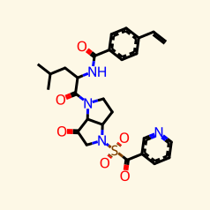 C=Cc1ccc(C(=O)NC(CC(C)C)C(=O)N2CCC3C2C(=O)CN3S(=O)(=O)C(=O)c2cccnc2)cc1